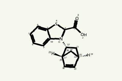 O=C(O)C1Sc2ccccc2N1[C@@H]1C[C@H]2C=C[C@H]1C2